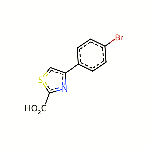 O=C(O)c1nc(-c2ccc(Br)cc2)cs1